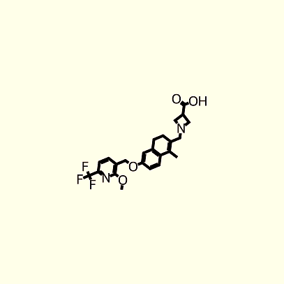 COc1nc(C(F)(F)F)ccc1COc1ccc2c(c1)CCC(CN1CC(C(=O)O)C1)=C2C